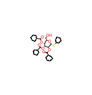 O=C(O[C@@H]1[C@H](OC(=O)c2ccccc2)[C@@H](Sc2ccccc2)O[C@H](CO)[C@H]1OC(=O)c1ccccc1)c1ccccc1